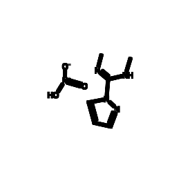 CN=C(NC)n1cccn1.O=[N+]([O-])O